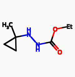 CCOC(=O)NNC1(C)CC1